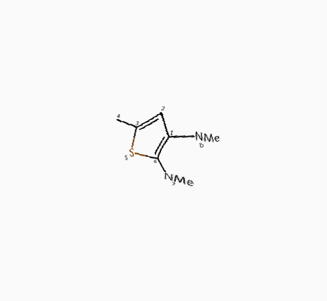 CNc1cc(C)sc1NC